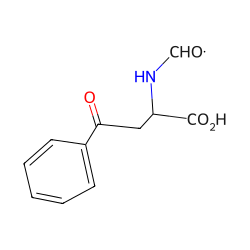 O=[C]NC(CC(=O)c1ccccc1)C(=O)O